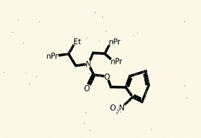 CCCC(CC)CN(CC(CCC)CCC)C(=O)OCc1ccccc1[N+](=O)[O-]